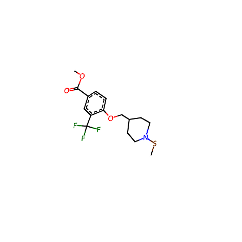 COC(=O)c1ccc(OCC2CCN(SC)CC2)c(C(F)(F)F)c1